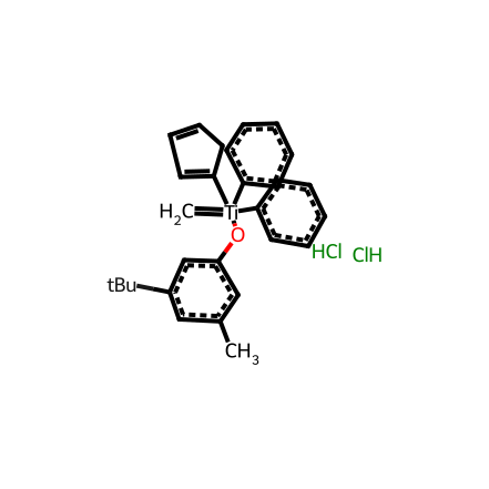 Cl.Cl.[CH2]=[Ti]([O]c1cc(C)cc(C(C)(C)C)c1)([C]1=CC=CC1)([c]1ccccc1)[c]1ccccc1